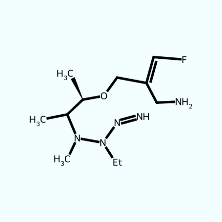 CCN(N=N)N(C)C(C)[C@@H](C)OC/C(=C/F)CN